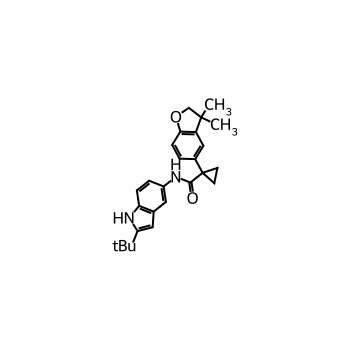 CC(C)(C)c1cc2cc(NC(=O)C3(c4ccc5c(c4)C(C)(C)CO5)CC3)ccc2[nH]1